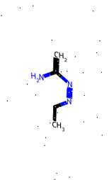 C=C(N)/N=N\CC